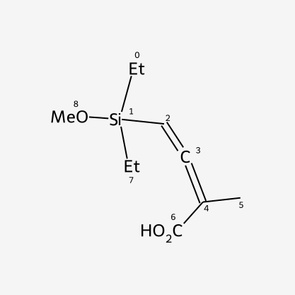 CC[Si](C=C=C(C)C(=O)O)(CC)OC